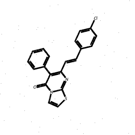 O=c1c(-c2ccccc2)c(C=Cc2ccc(Cl)cc2)nc2sccn12